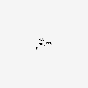 N.N.N.[Ti]